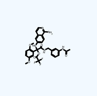 COc1ccc(OC)c(C(Nc2ccc3c(N)nccc3c2)(OC(=O)C(F)(F)F)C(=O)NCc2cccc(NC(C)=O)c2)c1